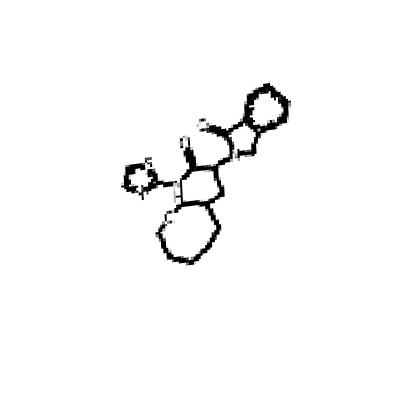 O=C(Nc1nccs1)C(CC1CCCCCCC1)N1Cc2ccccc2C1=O